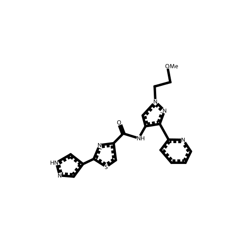 COCCn1cc(NC(=O)c2csc(-c3cn[nH]c3)n2)c(-c2ccccn2)n1